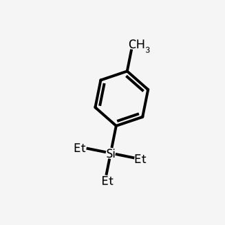 CC[Si](CC)(CC)c1ccc(C)cc1